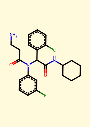 NCCC(=O)N(c1cccc(F)c1)C(C(=O)NC1CCCCC1)c1ccccc1Cl